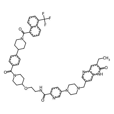 CCc1cc2ncc(CN3CCN(c4ccc(C(=O)NCCOC5CCN(C(=O)c6ccc(C7CCN(C(=O)c8cccc9c(C(F)(F)F)cccc89)CC7)cc6)CC5)nc4)CC3)cc2[nH]c1=O